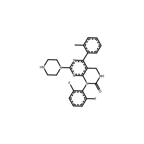 Cc1ccccc1-c1nc(N2CCNCC2)nc2c1CNC(=O)N2c1c(F)cccc1F